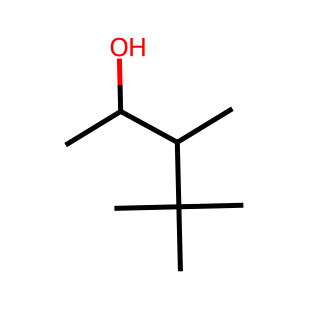 CC(O)C(C)C(C)(C)C